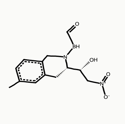 Cc1ccc2c(c1)C[C@@H]([C@H](O)C[N+](=O)[O-])N(BC=O)C2